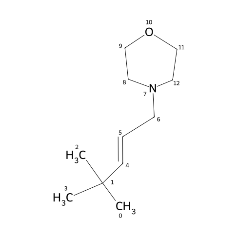 CC(C)(C)/C=C/CN1CCOCC1